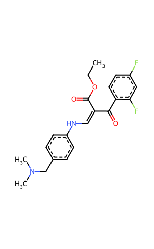 CCOC(=O)C(=CNc1ccc(CN(C)C)cc1)C(=O)c1ccc(F)cc1F